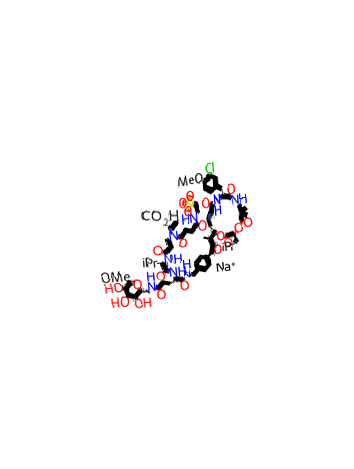 COc1ccc(C[C@H]2NC(=O)/C=C/C[C@@H]([C@H](C)[C@H]3O[C@@H]3c3ccc(CNC(=O)[C@H](CCC(=O)NC[C@H]4O[C@@H](OC)[C@H](O)[C@@H](O)[C@@H]4O)NC(=O)[C@@H](NC(=O)CCN(CCC(=O)O)C(=O)CCC(=O)NCCS(=O)(=O)[O-])C(C)C)cc3)OC(=O)[C@H](CC(C)C)OC(=O)C(C)(C)CNC2=O)cc1Cl.[Na+]